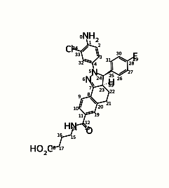 Nc1ccc(N2N=C3c4ccc(C(=O)NCCCC(=O)O)cc4CC[C@@H]3[C@@H]2c2ccc(F)cc2)cc1Cl